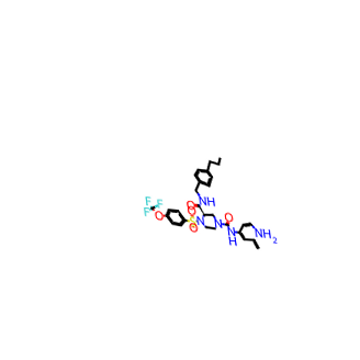 C=C/C=C(\C=C/N)NC(=O)N1CCN(S(=O)(=O)c2ccc(OC(F)(F)F)cc2)[C@@H](C(=O)NCc2ccc(CCC)cc2)C1